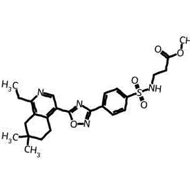 CCc1ncc(-c2nc(-c3ccc(S(=O)(=O)NCCC(=O)OC)cc3)no2)c2c1CC(C)(C)CC2